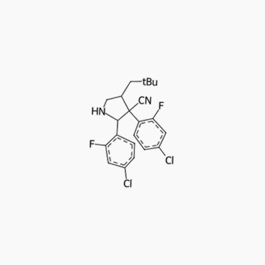 CC(C)(C)CC1CNC(c2ccc(Cl)cc2F)C1(C#N)c1ccc(Cl)cc1F